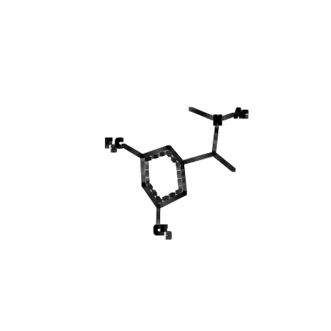 CC(=O)N(C)C(C)c1cc(C(F)(F)F)cc(C(F)(F)F)c1